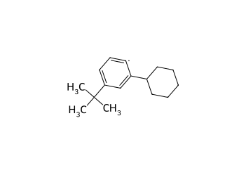 CC(C)(C)c1cc[c]c(C2CCCCC2)c1